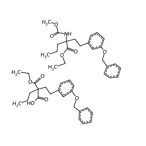 CCCC(CCc1cccc(OCc2ccccc2)c1)(C(=O)O)C(=O)OCC.CCCC(CCc1cccc(OCc2ccccc2)c1)(NC(=O)OC)C(=O)OCC